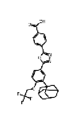 O=C(O)c1ccc(-c2nnc(-c3ccc(OCC(F)(F)F)c(C45CC6CC(CC(C6)C4)C5)c3)o2)cc1